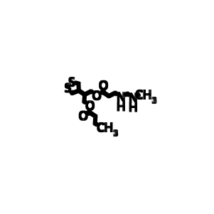 CCCC(=O)OCC(COC(=O)CCNCNC)C1CSSC1